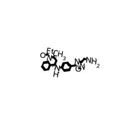 CCC(=O)N1c2ccccc2[C@H](Nc2ccc(-c3nc(CN)no3)cc2)C[C@@H]1C